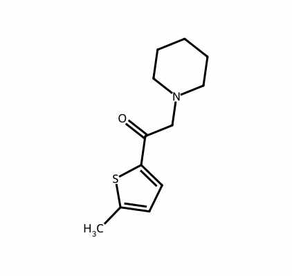 Cc1ccc(C(=O)CN2CCCCC2)s1